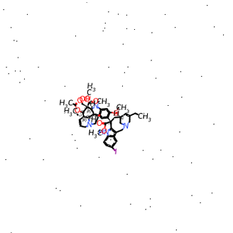 CCC1=C[C@H]2CN(C1)Cc1c([nH]c3ccc(I)cc13)[C@@](C(=O)OC)(c1cc3c(cc1OC)N(C)[C@H]1[C@@](CO)(C(=O)OC)[C@H](OC(C)=O)[C@]4(CC)C=CCN5CC[C@]31[C@@H]54)C2